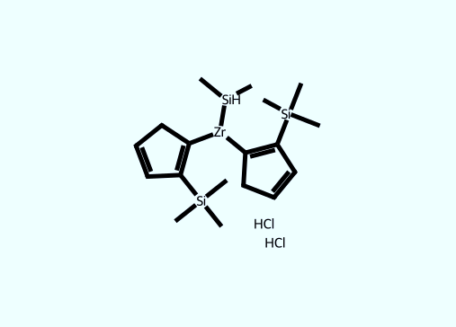 C[SiH](C)[Zr]([C]1=C([Si](C)(C)C)C=CC1)[C]1=C([Si](C)(C)C)C=CC1.Cl.Cl